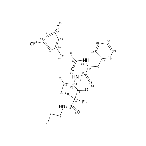 CCCNC(=O)C(F)(F)C(=O)[C@@H](NC(=O)C(Cc1ccccc1)NC(=O)COc1cc(Cl)cc(Cl)c1)C(C)C